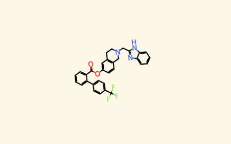 O=C(Oc1ccc2c(c1)CCN(Cc1nc3ccccc3[nH]1)C2)c1ccccc1-c1ccc(C(F)(F)F)cc1